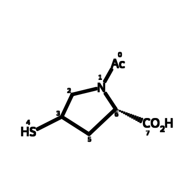 CC(=O)N1CC(S)C[C@H]1C(=O)O